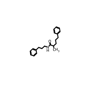 CC(CCCc1ccccc1)C(=O)NCCCc1ccccc1